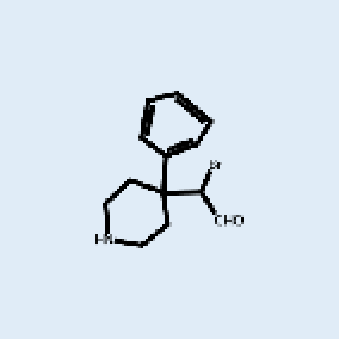 O=CC(Br)C1(c2ccccc2)CCNCC1